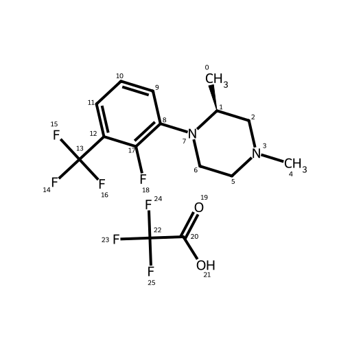 C[C@H]1CN(C)CCN1c1cccc(C(F)(F)F)c1F.O=C(O)C(F)(F)F